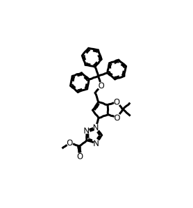 COC(=O)c1ncn(C2C=C(COC(c3ccccc3)(c3ccccc3)c3ccccc3)C3OC(C)(C)OC32)n1